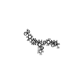 COC(=O)c1ccc(-c2ccnc(Nc3ccc(OC4CCCC4)c(COc4ccc(NC(=O)OC(C)(C)C)cc4)c3)n2)c(C)c1